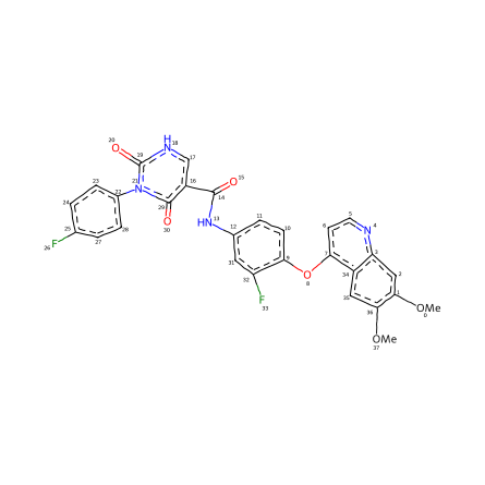 COc1cc2nccc(Oc3ccc(NC(=O)c4c[nH]c(=O)n(-c5ccc(F)cc5)c4=O)cc3F)c2cc1OC